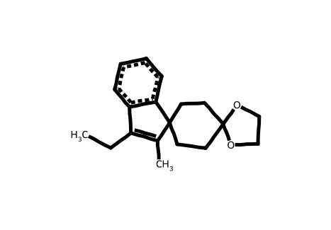 CCC1=C(C)C2(CCC3(CC2)OCCO3)c2ccccc21